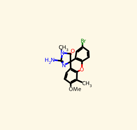 COc1ccc2c(c1C)Oc1ccc(Br)cc1C21N=C(N)N(C)C1=O